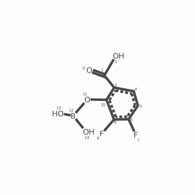 O=C(O)c1ccc(F)c(F)c1OB(O)O